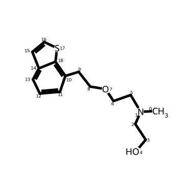 CN(CCO)CCOCCc1cccc2ccsc12